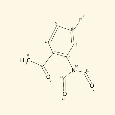 CC(=O)c1ccc(F)cc1N(C=O)C=O